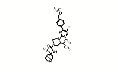 COCc1ccc(-c2nc(N3CCN(C(=O)NC4(C)CCN5CCC4CC5)CC3C(C)C)ncc2F)cc1